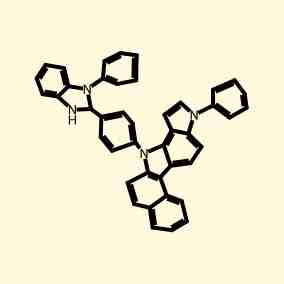 c1ccc(N2c3ccccc3NC2c2ccc(-n3c4ccc5ccccc5c4c4ccc5c(ccn5-c5ccccc5)c43)cc2)cc1